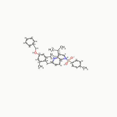 Cc1ccc(S(=O)(=O)n2cc(C(C)C)c3nc(Cc4c(C)cc(OCc5ccccc5)cc4C)ccc32)cc1